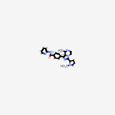 Cc1nccn2c(C3CCCN3C(=O)O)nc(-c3ccc(C(=O)Nc4ccccn4)cc3)c12